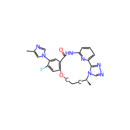 Cc1cn(-c2cc3c(cc2F)OCCC[C@H](C)n2cnnc2-c2cccc(n2)NC3=O)cn1